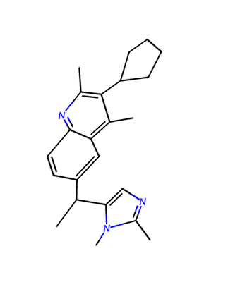 Cc1nc2ccc(C(C)c3cnc(C)n3C)cc2c(C)c1C1CCCC1